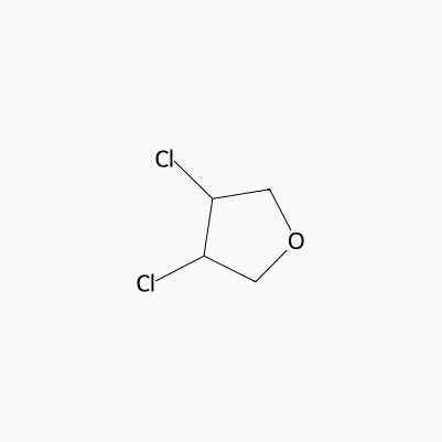 ClC1COCC1Cl